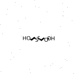 OCCSSCCOO